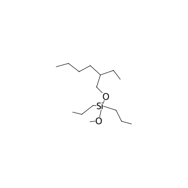 CCCCC(CC)CO[Si](CCC)(CCC)OC